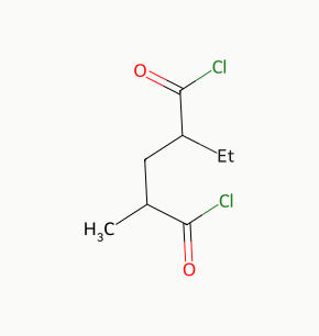 CCC(CC(C)C(=O)Cl)C(=O)Cl